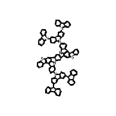 c1ccc2c(c1)-c1ccccc1C2c1ccc2c(c1)c1cc(C3c4ccccc4-c4ccccc43)ccc1n2-c1ccc2c3c4c(cc5c6cc7c(cc6n(c2c1)c53)c1cc2sc3ccccc3c2c2c3ccc(-n5c6ccc(-n8c9ccccc9c9ccccc98)cc6c6cc(-n8c9ccccc9c9ccccc98)ccc65)cc3n7c12)sc1ccccc14